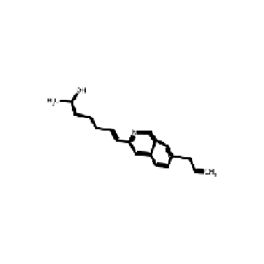 C=CCc1ccc2cc(C=CCCCC(C)O)ncc2c1